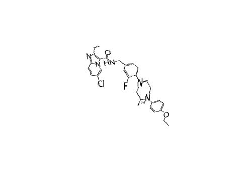 CCOc1ccc(N2CCN(C3CC=C(CNC(=O)c4c(CC)nc5ccc(Cl)cn45)C=C3F)C[C@@H]2C)cc1